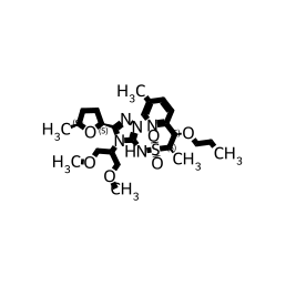 CCCO[C@@H](c1ccc(C)cn1)[C@H](C)S(=O)(=O)Nc1nnc([C@@H]2CC[C@H](C)O2)n1C(COC)COC